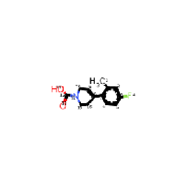 Cc1cc(F)ccc1C1=CCN(C(=O)O)CC1